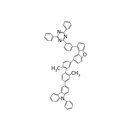 Cc1cc(-c2ccc3c(c2)c2ccccc2n3-c2ccccc2)ccc1-c1cc(-c2ccc3oc4cccc(-c5cccc(-c6nc(-c7ccccc7)nc(-c7ccccc7)n6)c5)c4c3c2)ccc1C